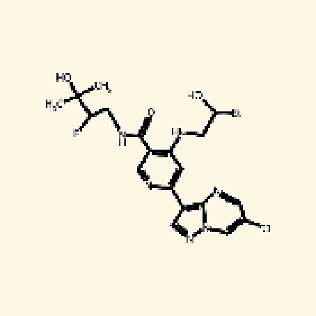 CCC(O)CNc1cc(-c2cnn3cc(Cl)cnc23)ncc1C(=O)NCC(F)C(C)(C)O